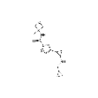 CC1(NC(=O)c2cc(C3CC3NCC3CC3)cs2)COC1